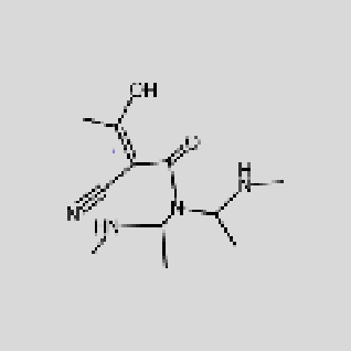 CNC(C)N(C(=O)/C(C#N)=C(/C)O)C(C)NC